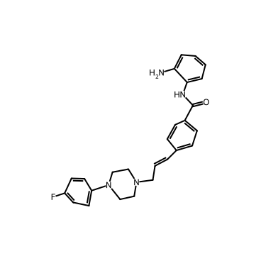 Nc1ccccc1NC(=O)c1ccc(C=CCN2CCN(c3ccc(F)cc3)CC2)cc1